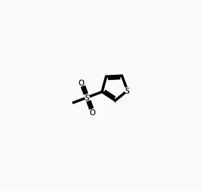 CS(=O)(=O)c1[c]scc1